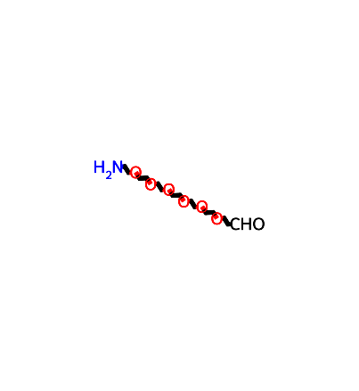 NCCOCCOCCOCCOCCOCCOCCC=O